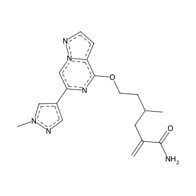 C=C(CC(C)CCOc1nc(-c2cnn(C)c2)cn2nccc12)C(N)=O